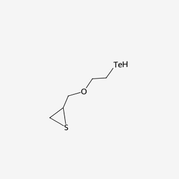 [TeH]CCOCC1CS1